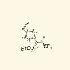 C=Cc1ccc(C(C(=O)OCC)[C@@H](C)C(F)(F)F)cc1